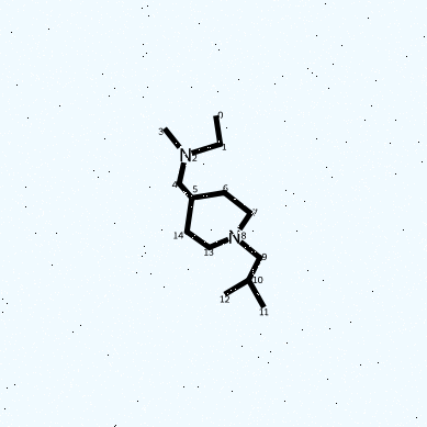 CCN(C)CC1CCN(CC(C)C)CC1